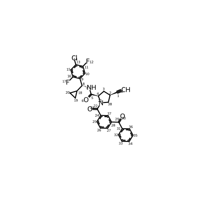 C#C[C@@H]1C[C@H](C(=O)N[C@@H](c2cc(F)c(Cl)cc2F)C2CC2)N(C(=O)c2cccc(C(=O)c3ccccc3)c2)C1